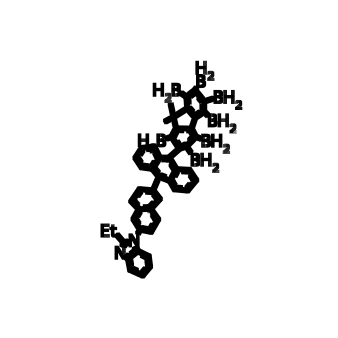 Bc1c(B)c(B)c2c(c1B)-c1c(B)c(B)c(-c3c4ccccc4c(-c4ccc5cc(-n6c(CC)nc7ccccc76)ccc5c4)c4ccccc34)c(B)c1C2(C)C